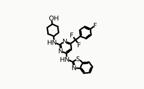 OC1CCC(Nc2nc(Nc3nc4ccccc4s3)cc(C(F)(F)c3ccc(F)cc3)n2)CC1